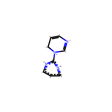 C1=CN=CN(c2ncccn2)C1